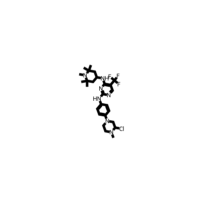 CN1CCN(c2ccc(Nc3ncc(C(F)(F)F)c(NC4CC(C)(C)N(C)C(C)(C)C4)n3)cc2)CC1Cl